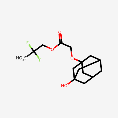 O=C(COC12CC3CC(CC(O)(C3)C1)C2)OCC(F)(F)S(=O)(=O)O